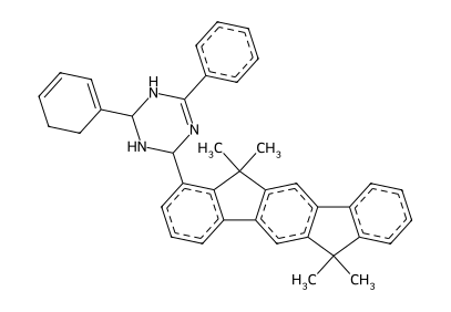 CC1(C)c2ccccc2-c2cc3c(cc21)-c1cccc(C2N=C(c4ccccc4)NC(C4=CC=CCC4)N2)c1C3(C)C